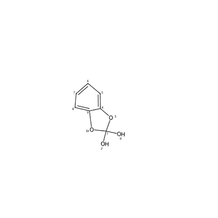 OC1(O)Oc2ccccc2O1